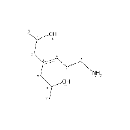 CC(O)CC(=CCCN)CC(C)O